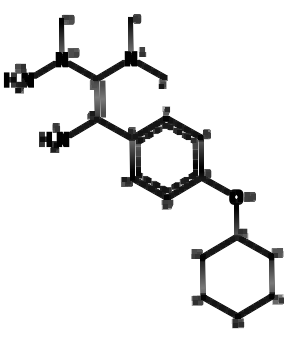 CN(C)/C(=C(/N)c1ccc(OC2CCCCC2)cc1)N(C)N